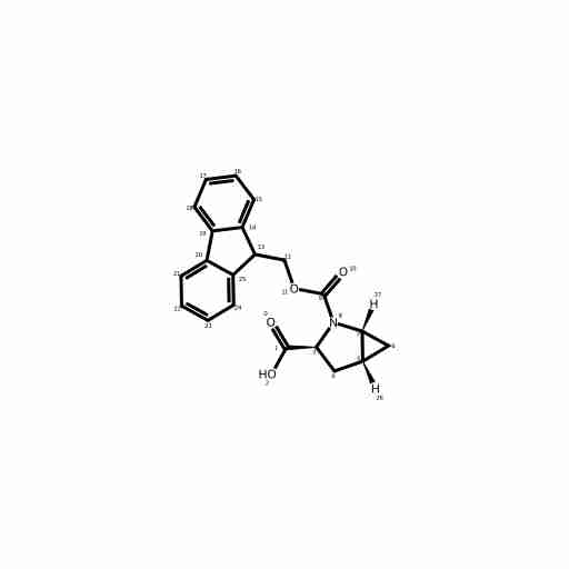 O=C(O)[C@@H]1C[C@H]2C[C@H]2N1C(=O)OCC1c2ccccc2-c2ccccc21